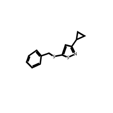 c1ccc(CSc2cc(C3CC3)ns2)cc1